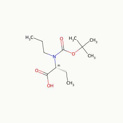 CCCN(C(=O)OC(C)(C)C)[C@H](CC)C(=O)O